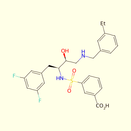 CCc1cccc(CNC[C@H](O)[C@H](Cc2cc(F)cc(F)c2)NS(=O)(=O)c2cccc(C(=O)O)c2)c1